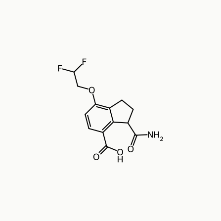 NC(=O)C1CCc2c(OCC(F)F)ccc(C(=O)O)c21